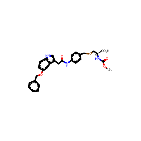 CC(C)(C)OC(=O)N[C@@H](CSCc1ccc(NC(=O)Cc2c[nH]c3ccc(OCc4ccccc4)cc23)cc1)C(=O)O